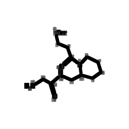 CCCCCCCCCCCCC(=O)N1CCCCC1CNC(=O)CN